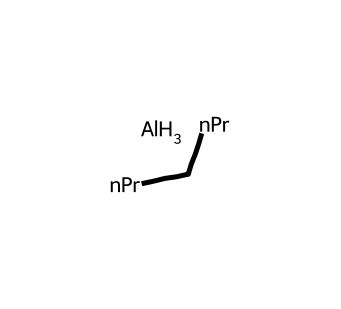 C[CH]CCCCC.[AlH3]